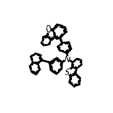 c1cc(-c2cccc3ccccc23)cc(N(c2ccc(-c3cccc4oc5ccccc5c34)cc2)c2cccc3c2sc2ccccc23)c1